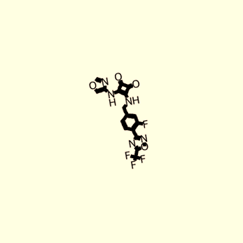 O=c1c(NCc2ccc(-c3noc(C(F)(F)F)n3)c(F)c2)c(Nc2cocn2)c1=O